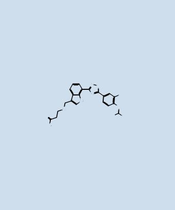 CC(C)Oc1ccc(-c2nc(-c3cccc4c(CNCCC(=O)O)c[nH]c34)no2)cc1Cl